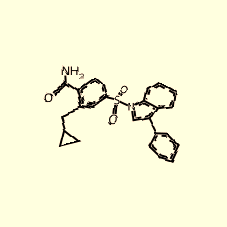 NC(=O)c1ccc(S(=O)(=O)n2cc(-c3ccccc3)c3ccccc32)cc1CC1CC1